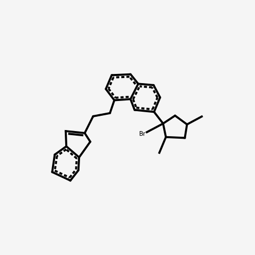 CC1CC(C)C(Br)(c2ccc3cccc(CCC4=Cc5ccccc5C4)c3c2)C1